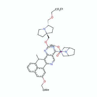 CCOC(=O)COC[C@@H]1CC[C@]2(COc3nc(N4CC5CCC(C4)N5C(=O)OC(C)(C)C)c4cnc5c(c4n3)C(C)c3cccc4cc(OCOC)cc-5c34)CCCN12